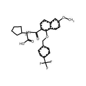 COc1ccc2c(OCc3ccc(C(F)(F)F)cc3)c(C(=O)N[C@H](C(=O)O)C3CCCC3)ccc2c1